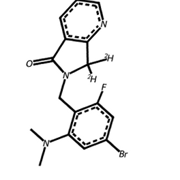 [2H]C1([2H])c2ncccc2C(=O)N1Cc1c(F)cc(Br)cc1N(C)C